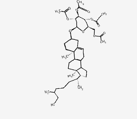 CC(=O)OC[C@H]1O[C@@H](OC2CC[C@@]3(C)C(=CCC4C3CC[C@@]3(C)C4CC[C@@H]3[C@H](C)CCCC(C)CO)C2)[C@H](OC(C)=O)[C@@H](OC(C)=O)[C@@H]1OC(C)=O